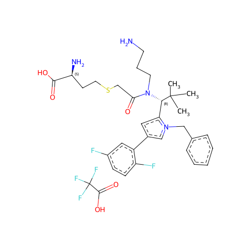 CC(C)(C)[C@H](c1cc(-c2cc(F)ccc2F)cn1Cc1ccccc1)N(CCCN)C(=O)CSCC[C@H](N)C(=O)O.O=C(O)C(F)(F)F